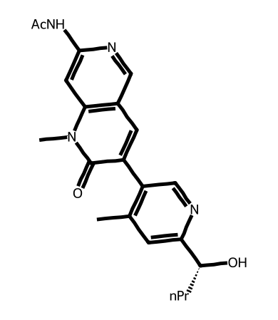 CCC[C@@H](O)c1cc(C)c(-c2cc3cnc(NC(C)=O)cc3n(C)c2=O)cn1